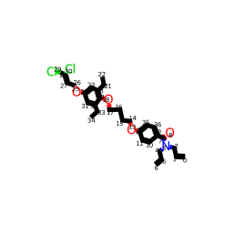 C=CCN(CC=C)C(=O)c1ccc(OCCCCOc2c(CC)cc(OCC=C(Cl)Cl)cc2CC)cc1